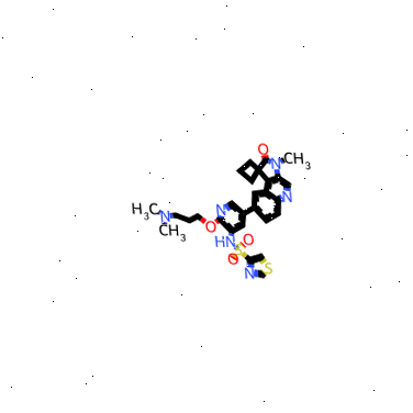 CN(C)CCCOc1ncc(-c2ccc3ncc4c(c3c2)C2(CCC2)C(=O)N4C)cc1NS(=O)(=O)c1cscn1